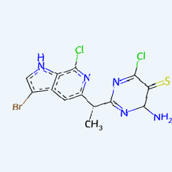 CC(C1=NC(N)C(=S)C(Cl)=N1)c1cc2c(Br)c[nH]c2c(Cl)n1